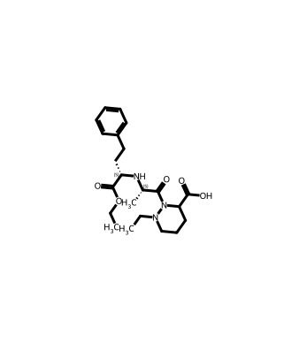 CCOC(=O)[C@H](CCc1ccccc1)N[C@@H](C)C(=O)N1C(C(=O)O)CCCN1CC